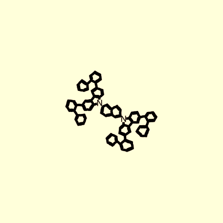 c1ccc(-c2ccccc2-c2ccc3c(c2)c2cc(-c4ccccc4-c4ccccc4)ccc2n3-c2ccc3cc(-n4c5ccc(-c6ccccc6-c6ccccc6)cc5c5cc(-c6ccccc6-c6ccccc6)ccc54)ccc3c2)cc1